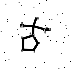 CCCCC(C)(CC)N1CCCC1